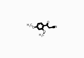 COc1ccc(C(=O)CC#N)c(OC)c1